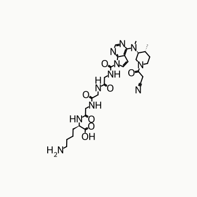 C[C@@H]1CCN(C(=O)CC#N)C[C@@H]1N(C)c1ncnc2c1ccn2C(=O)NCC(=O)NCC(=O)NCC(=O)N[C@H](CCCCN)C(=O)O